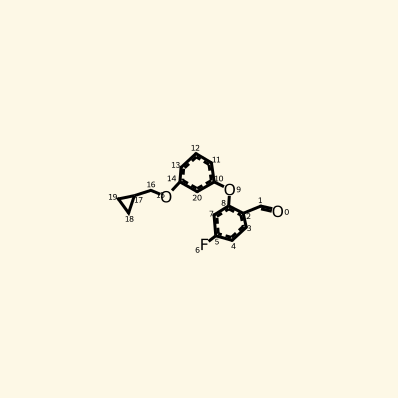 O=Cc1ccc(F)cc1Oc1cccc(OCC2CC2)c1